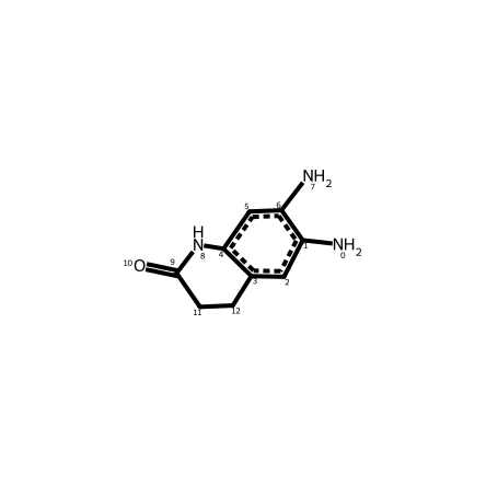 Nc1cc2c(cc1N)NC(=O)CC2